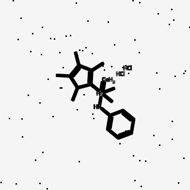 CC1=C(C)C(C)[C]([Hf]([CH3])([CH3])(=[GeH2])[NH]c2ccccc2)=C1C.Cl.Cl